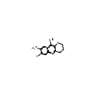 Cc1cc2c(N)c3c(nc2cc1F)CCCS3